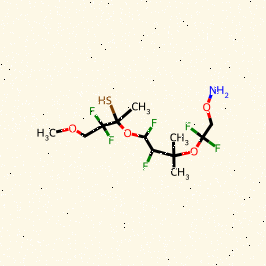 COCC(F)(F)C(C)(S)OC(F)C(F)C(C)(C)OC(F)(F)CON